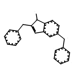 CC1C(Cc2ccccc2)=Cc2cc(Cc3ccccc3)ccc21